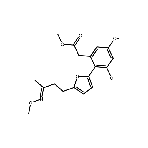 CON=C(C)CCc1ccc(-c2c(O)cc(O)cc2CC(=O)OC)o1